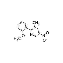 COc1ccccc1-c1ncc([N+](=O)[O-])cc1C